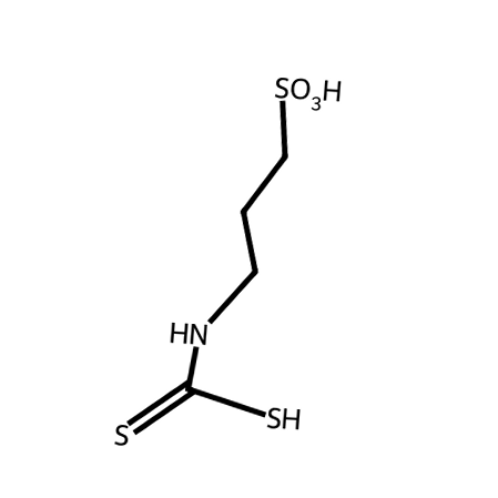 O=S(=O)(O)CCCNC(=S)S